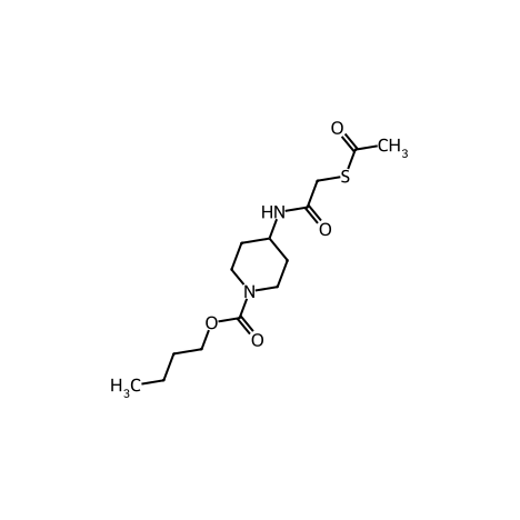 CCCCOC(=O)N1CCC(NC(=O)CSC(C)=O)CC1